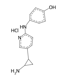 Cl.NC1CC1c1ccc(Nc2ccc(O)cc2)nc1